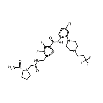 NC(=O)[C@H]1CCCN1CC(=O)NCc1ccc(C(=O)Nc2ccc(Cl)cc2N2CCN(CCC(F)(F)F)CC2)c(F)c1F